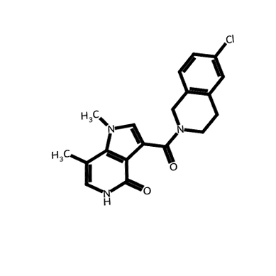 Cc1c[nH]c(=O)c2c(C(=O)N3CCc4cc(Cl)ccc4C3)cn(C)c12